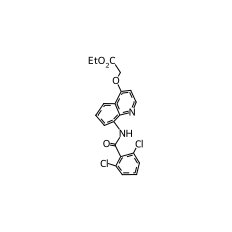 CCOC(=O)COc1ccnc2c(NC(=O)c3c(Cl)cccc3Cl)cccc12